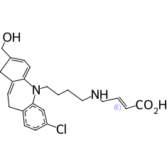 O=C(O)/C=C/CNCCCCN1C2=CC=C(CO)CC2=CCc2ccc(Cl)cc21